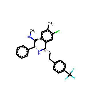 C=C(NC)[C@H](N[C@@H](CCc1ccc(C(F)(F)F)cc1)c1ccc(C)c(Cl)c1)c1ccccc1